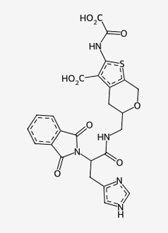 O=C(O)C(=O)Nc1sc2c(c1C(=O)O)CC(CNC(=O)C(Cc1c[nH]cn1)N1C(=O)c3ccccc3C1=O)OC2